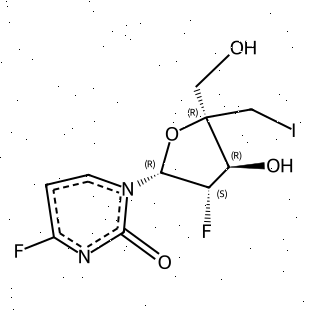 O=c1nc(F)ccn1[C@@H]1O[C@@](CO)(CI)[C@@H](O)[C@@H]1F